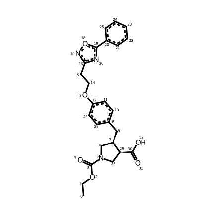 CCOC(=O)N1C[C@@H](Cc2ccc(OCCc3noc(-c4ccccc4)n3)cc2)[C@@H](C(=O)O)C1